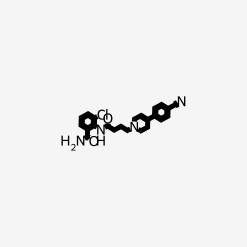 N#Cc1ccc(C2=CCN(CCCC(=O)Nc3c(Cl)cccc3C(N)=O)CC2)cc1